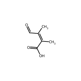 C/C(C=O)=C(\C)C(=O)O